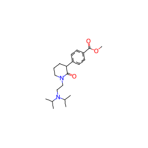 COC(=O)c1ccc(C2CCCN(CCN(C(C)C)C(C)C)C2=O)cc1